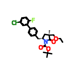 CCOC[C@]1(C)C[C@@H](Cc2ccc(-c3cc(Cl)ccc3F)cc2)N(C(=O)OC(C)(C)C)C1=O